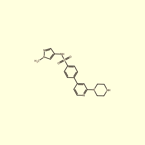 Cn1cc(NS(=O)(=O)c2ccc(-c3ccnc(N4CCNCC4)c3)cc2)cn1